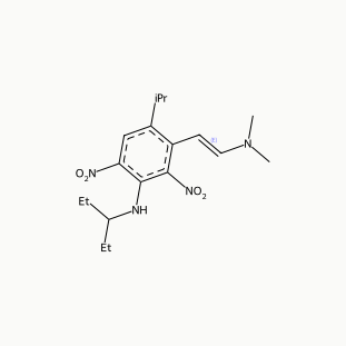 CCC(CC)Nc1c([N+](=O)[O-])cc(C(C)C)c(/C=C/N(C)C)c1[N+](=O)[O-]